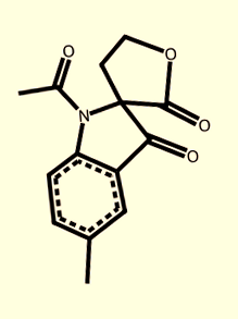 CC(=O)N1c2ccc(C)cc2C(=O)C12CCOC2=O